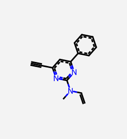 C#Cc1cc(-c2ccccc2)nc(N(C)C=C)n1